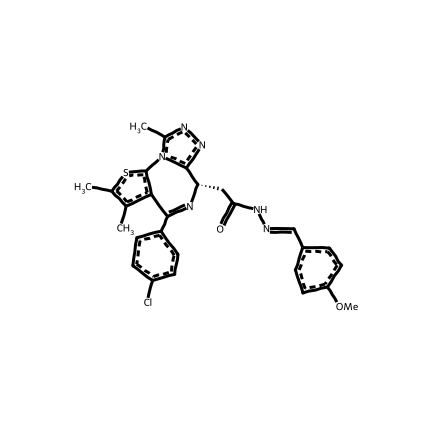 COc1ccc(/C=N/NC(=O)C[C@@H]2N=C(c3ccc(Cl)cc3)c3c(sc(C)c3C)-n3c(C)nnc32)cc1